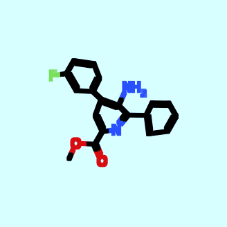 COC(=O)c1cc(-c2cccc(F)c2)c(N)c(-c2ccccc2)n1